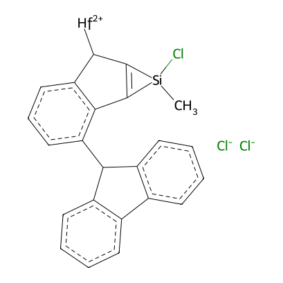 C[Si]1(Cl)C2=C1[CH]([Hf+2])c1cccc(C3c4ccccc4-c4ccccc43)c12.[Cl-].[Cl-]